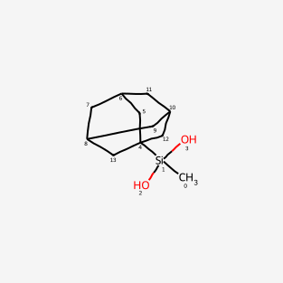 C[Si](O)(O)C12CC3CC(CC(C3)C1)C2